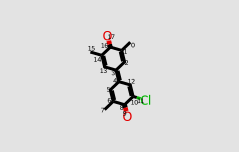 CC1=CC(=C2C=C(C)C(=O)C(Cl)=C2)C=C(C)C1=O